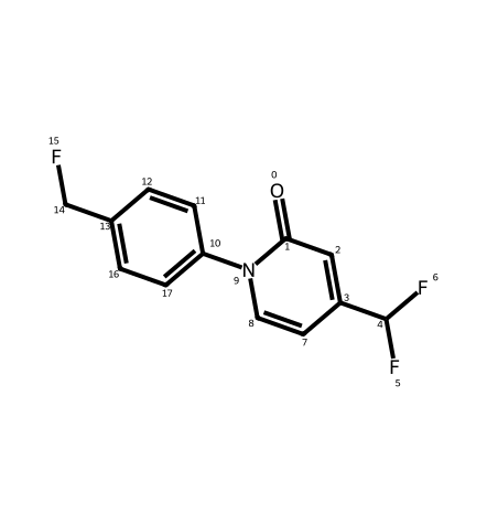 O=c1cc(C(F)F)ccn1-c1ccc(CF)cc1